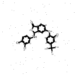 O=C1OC(Nc2ccc(Cl)c(Cl)c2)c2cc(Oc3ccc(C(F)(F)F)cc3Cl)ccc21